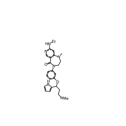 CCNc1cc2c(cn1)C(=O)N(c1cccc(OC(CCNC)C3=CC=CB3)c1)CCN2C